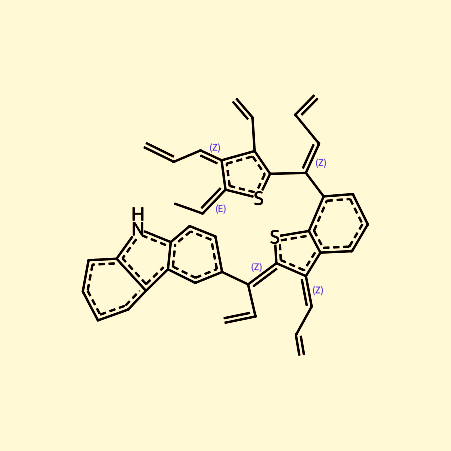 C=C/C=C(\c1sc(=C/C)/c(=C\C=C)c1C=C)c1cccc2c(=C/C=C)/c(=C(\C=C)c3ccc4[nH]c5ccccc5c4c3)sc12